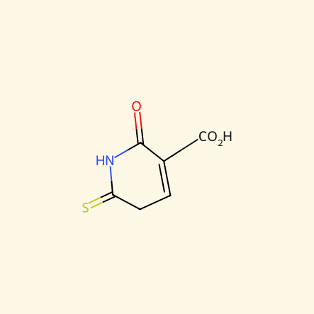 O=C(O)C1=CCC(=S)NC1=O